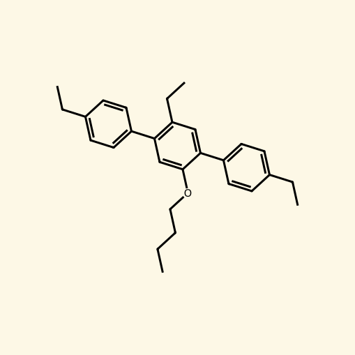 CCCCOc1cc(-c2ccc(CC)cc2)c(CC)cc1-c1ccc(CC)cc1